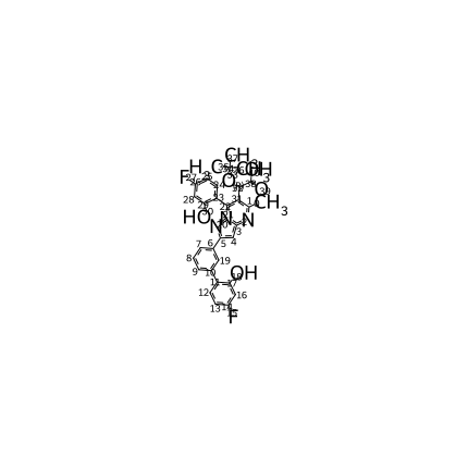 Cc1nc2cc(-c3cccc(-c4ccc(F)cc4O)c3)nn2c(-c2ccc(F)cc2O)c1[C@@H](OC(C)(C)C)C(=O)O